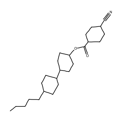 CCCCCC1CCC(C2CCC(OC(=O)C3CCC(C#N)CC3)CC2)CC1